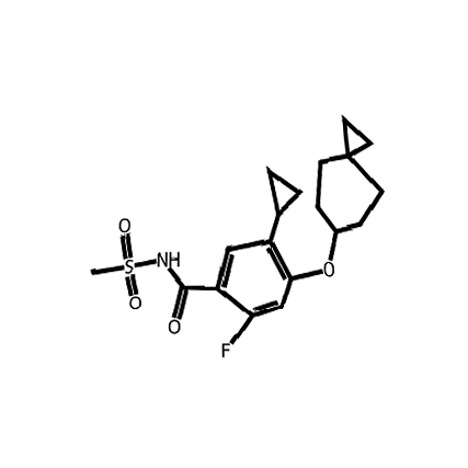 CS(=O)(=O)NC(=O)c1cc(C2CC2)c(OC2CCC3(CC2)CC3)cc1F